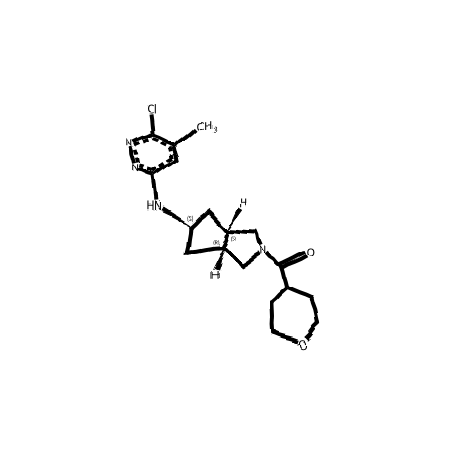 Cc1cc(N[C@H]2C[C@@H]3CN(C(=O)C4CCOCC4)C[C@@H]3C2)nnc1Cl